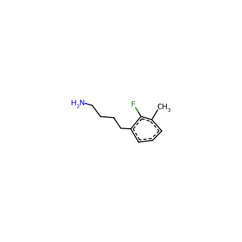 Cc1cccc(CCCCN)c1F